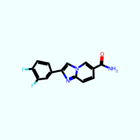 NC(=O)c1ccc2nc(-c3ccc(F)c(F)c3)cn2c1